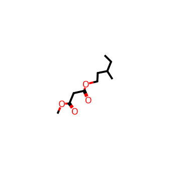 CCC(C)CCOC(=O)CC(=O)OC